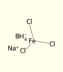 [BH4-].[Cl][Fe]([Cl])[Cl].[Na+]